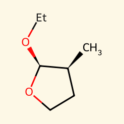 CCO[C@@H]1OCC[C@@H]1C